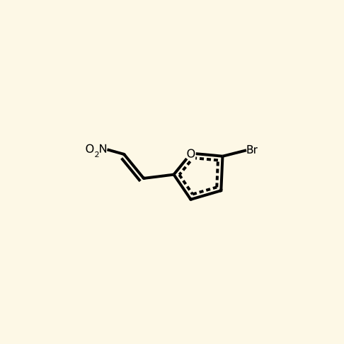 O=[N+]([O-])C=Cc1ccc(Br)o1